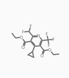 CCOC(=O)c1c(C(F)F)nc(C(F)(F)F)c(C(=O)OCC)c1C1CC1